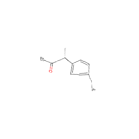 CCC(=O)[C@H](C)c1ccc(CC(C)C)cc1